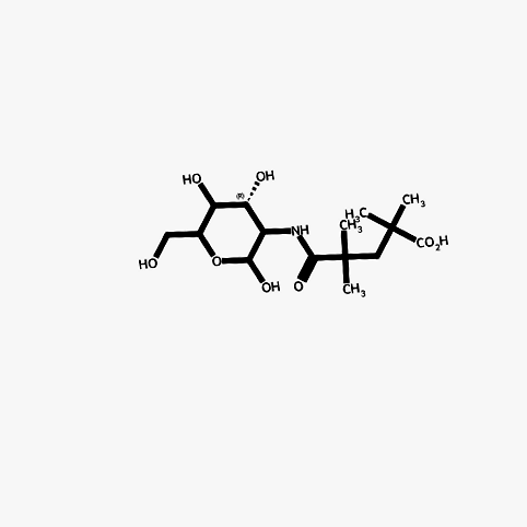 CC(C)(CC(C)(C)C(=O)NC1C(O)OC(CO)C(O)[C@@H]1O)C(=O)O